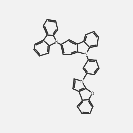 c1cc(-n2ccc3c4ccccc4oc32)cc(-n2c3ccccc3c3cc(-n4c5ccccc5c5ccccc54)ccc32)c1